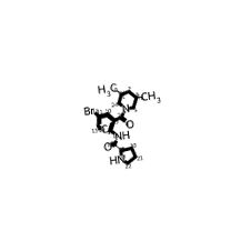 C[C@@H]1C[C@H](C)CN(C(=O)c2cc(Br)ccc2NC(=O)[C@@H]2CCCN2)C1